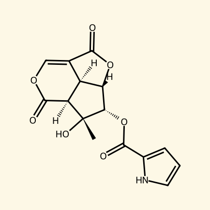 C[C@]1(O)[C@@H](OC(=O)c2ccc[nH]2)[C@H]2OC(=O)C3=COC(=O)[C@H]1[C@@H]32